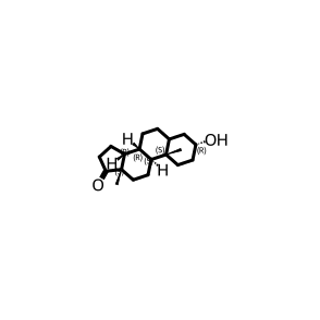 C[C@]12CC[C@@H](O)CC1CC[C@H]1[C@H]3CCC(=O)[C@@]3(C)CC[C@@H]12